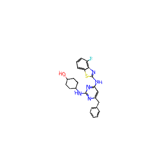 OC1CCC(Nc2nc(Cc3ccccc3)cc(Nc3nc4c(F)cccc4s3)n2)CC1